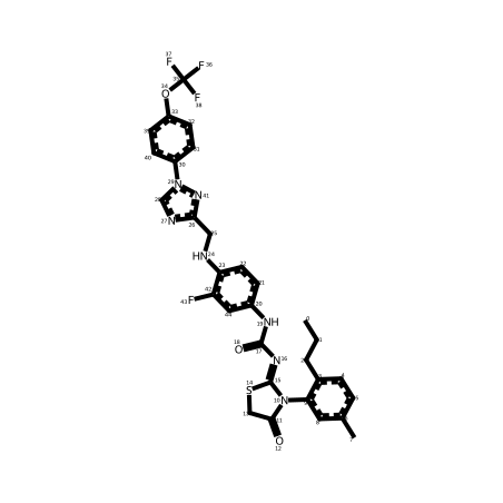 CCCc1ccc(C)cc1N1C(=O)CSC1=NC(=O)Nc1ccc(NCc2ncn(-c3ccc(OC(F)(F)F)cc3)n2)c(F)c1